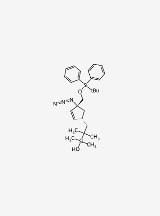 CC(C)(C[C@@H]1C=C[C@](CO[Si](c2ccccc2)(c2ccccc2)C(C)(C)C)(N=[N+]=[N-])C1)[Si](C)(C)O